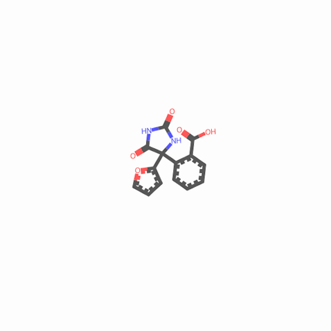 O=C1NC(=O)C(c2ccco2)(c2ccccc2C(=O)O)N1